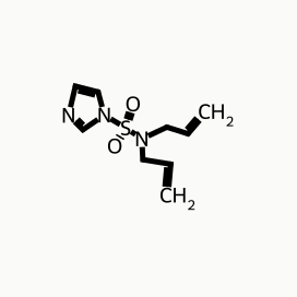 C=CCN(CC=C)S(=O)(=O)n1ccnc1